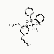 CC[C@@H]1C[C@@H](N=[N+]=[N-])CC[C@H]1O[Si](c1ccccc1)(c1ccccc1)C(C)(C)C